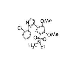 CCN(C)S(=O)(=O)c1cc(-c2ccnn2-c2ccccc2Cl)c(OC)cc1OC